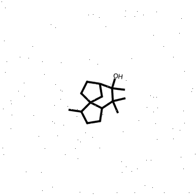 CC1CCC2C13CCC(C3)C(C)(O)C2(C)C